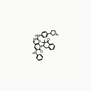 CN1CCC(c2ccc(Nc3ncc4cc(N(C)c5ccccc5)c(=O)n(C5Cc6ccccc6C(=O)C5(C)C)c4n3)cc2)C1